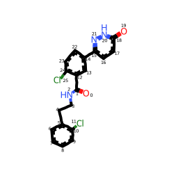 O=C(NCCc1ccccc1Cl)c1cc(-c2ccc(=O)[nH]n2)ccc1Cl